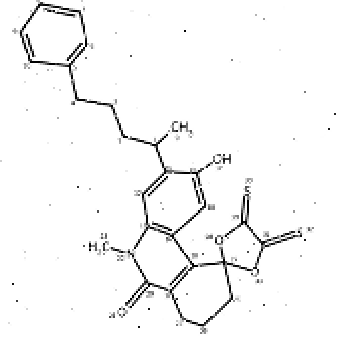 CC(CCCc1ccccc1)c1cc2c(cc1O)c1c(c(=O)n2C)CCCC12OC(=S)C(=S)O2